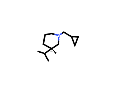 CC(C)[C@]1(C)CCCN(CC2CC2)C1